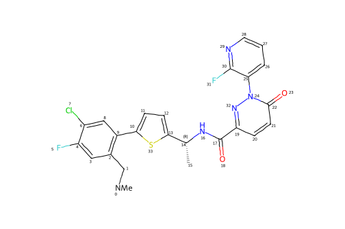 CNCc1cc(F)c(Cl)cc1-c1ccc([C@@H](C)NC(=O)c2ccc(=O)n(-c3cccnc3F)n2)s1